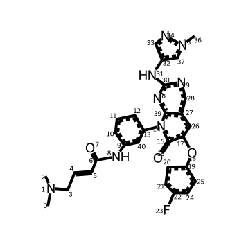 CN(C)C/C=C/C(=O)Nc1cccc(-n2c(=O)c(Oc3ccc(F)cc3)cc3cnc(Nc4cnn(C)c4)nc32)c1